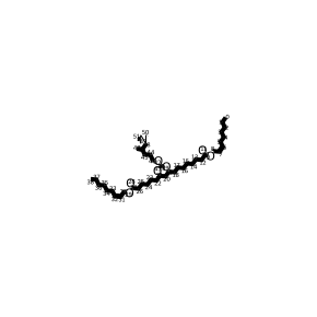 CCCCCC/C=C\COC(=O)CCCCCCCC(CCCCCCCC(=O)OC/C=C\CCCCCC)OC(=O)OCCCC(C)CN(C)C